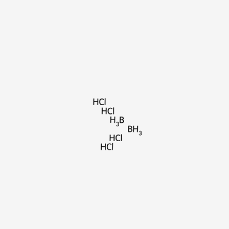 B.B.Cl.Cl.Cl.Cl